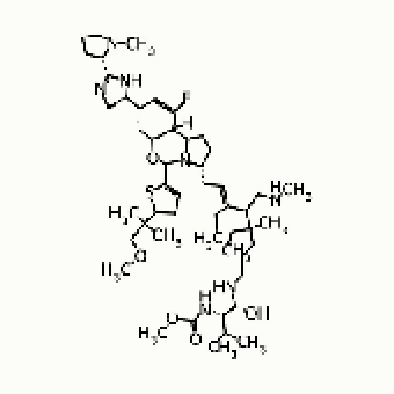 CC/C(=C\C[C@H]1CCC2[C@H]3C(F)=C[C@@H]([C@H]4CN=C([C@@H]5CCCN5C)N4)CC3OC(C3=CCC(C(C)(C)COC)S3)N21)C(CNC)[C@@](C)(CC)CCCN[C@H](O)[C@@H](NC(=O)OC)C(C)C